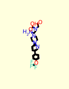 NC(CN(CC=O)C(=O)O)N1CCN(c2ccc(-c3ccc(OC(F)(F)F)cc3)cn2)CC1